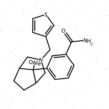 COC1(c2cccc(C(N)=O)c2)C2CCC1CN(Cc1ccsc1)C2